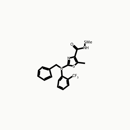 CSNC(=O)c1nc(N(Cc2ccccc2)c2ccccc2C(F)(F)F)sc1C